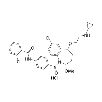 COC1CCC(OCCNC2CC2)c2cc(Cl)ccc2N1C(=O)c1ccc(NC(=O)c2ccccc2Cl)cc1.Cl